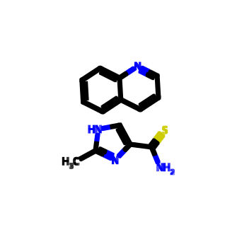 Cc1nc(C(N)=S)c[nH]1.c1ccc2ncccc2c1